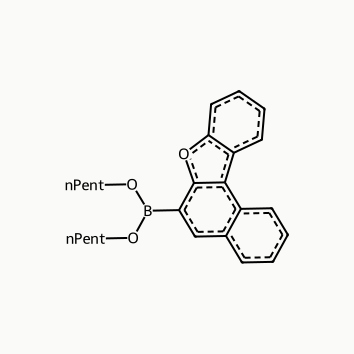 CCCCCOB(OCCCCC)c1cc2ccccc2c2c1oc1ccccc12